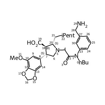 CCCCN(C(=O)CN1C[C@H](c2cc(OC)c3c(c2)OCO3)[C@@H](C(=O)O)[C@@H]1CC(C)CCC)c1cccc(CN)c1